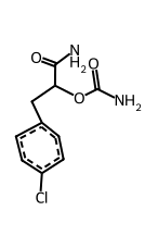 NC(=O)OC(Cc1ccc(Cl)cc1)C(N)=O